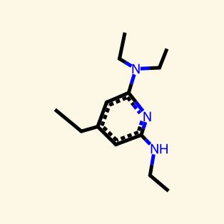 CCNc1cc(CC)cc(N(CC)CC)n1